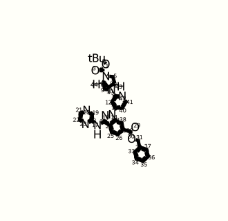 CC(C)(C)OC(=O)N1C[C@@H]2C[C@H]1CN2c1cc(-n2nc(Nc3cnccn3)c3ccc(C(=O)OCc4ccccc4)cc32)ccn1